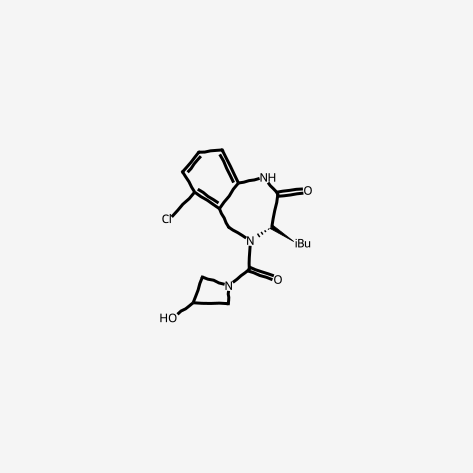 CC[C@H](C)[C@H]1C(=O)Nc2cccc(Cl)c2CN1C(=O)N1CC(O)C1